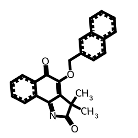 CC1(C)C(=O)N=C2C1=C(OCc1ccc3ccccc3c1)C(=O)c1ccccc12